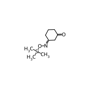 C[Si](C)(C)ON=C1CCCC(=O)C1